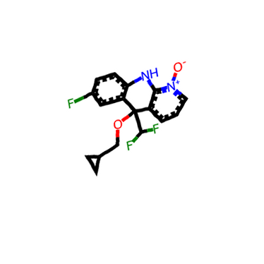 [O-][n+]1cccc2c1Nc1ccc(F)cc1C2(OCC1CC1)C(F)F